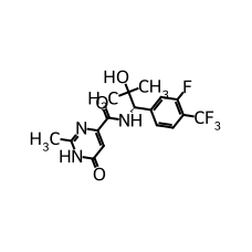 Cc1nc(C(=O)N[C@@H](c2ccc(C(F)(F)F)c(F)c2)C(C)(C)O)cc(=O)[nH]1